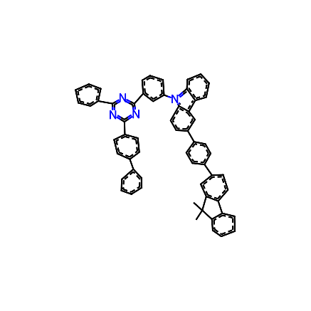 CC1(C)c2ccccc2-c2ccc(-c3ccc(-c4ccc5c(c4)c4ccccc4n5-c4cccc(-c5nc(-c6ccccc6)nc(-c6ccc(-c7ccccc7)cc6)n5)c4)cc3)cc21